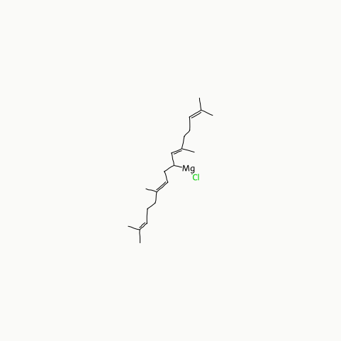 CC(C)=CCC/C(C)=C/C[CH](/C=C(\C)CCC=C(C)C)[Mg][Cl]